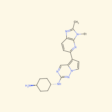 CCn1c(C)nc2ccc(-c3ccn4nc(N[C@H]5CC[C@H](N)CC5)ncc34)nc21